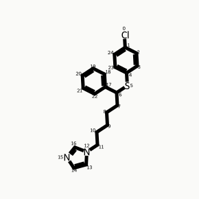 Clc1ccc(SC(CCCCCn2ccnc2)c2ccccc2)cc1